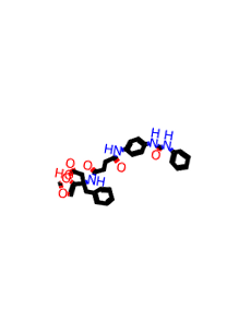 O=C(O)CC(Cc1ccccc1)(NC(=O)CCC(=O)Nc1ccc(NC(=O)Nc2ccccc2)cc1)C1=COCO1